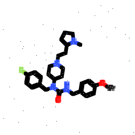 CC(C)Oc1ccc(CNC(=O)N(Cc2ccc(F)cc2)C2CCN(CCC3CCCN3C)CC2)cc1